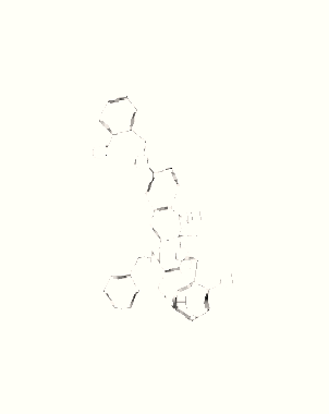 CC1(OCc2ccccc2Cl)Nc2ccc(OCc3ccccc3Cl)cc2C=C1N(Cc1ccccc1)C(=O)CN